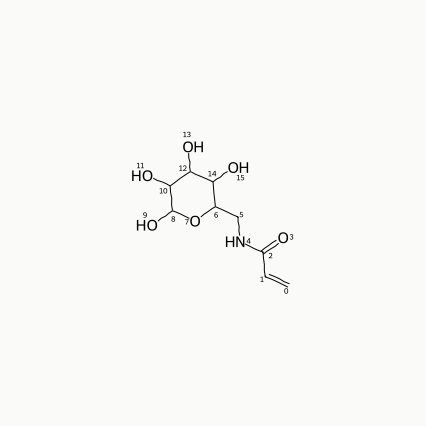 C=CC(=O)NCC1OC(O)C(O)C(O)C1O